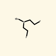 CC(C)(C)N(CCF)CCF